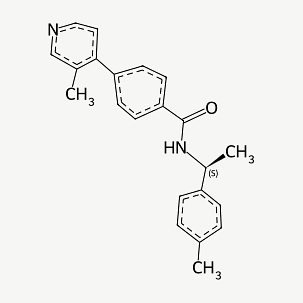 Cc1ccc([C@H](C)NC(=O)c2ccc(-c3ccncc3C)cc2)cc1